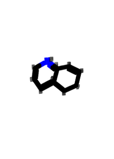 [c]1cnc2c(c1)CCC=C2